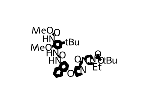 CCC1CN(C(=O)c2cc(Oc3ccc(NC(=O)Nc4cc(C(C)(C)C)cc(NC(=O)OC)c4OC)c4ccccc34)ccn2)CCN1C(=O)OC(C)(C)C